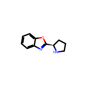 c1ccc2oc([C@H]3CCCN3)nc2c1